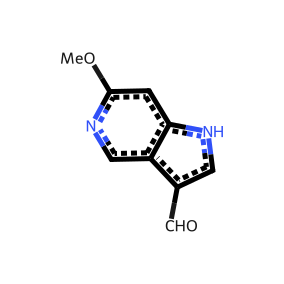 COc1cc2[nH]cc(C=O)c2cn1